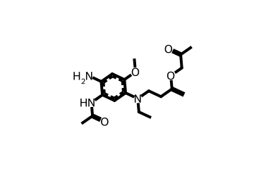 C=C(CCN(CC)c1cc(NC(C)=O)c(N)cc1OC)OCC(C)=O